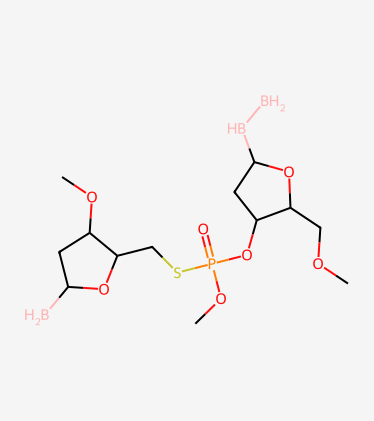 BBC1CC(OP(=O)(OC)SCC2OC(B)CC2OC)C(COC)O1